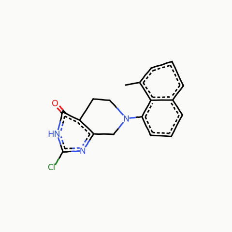 Cc1cccc2cccc(N3CCc4c(nc(Cl)[nH]c4=O)C3)c12